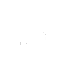 CC(N)Cc1c(O)ccc(O)c1Br